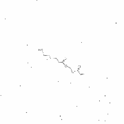 C=CC(=O)OCOC(=O)CCCCCO